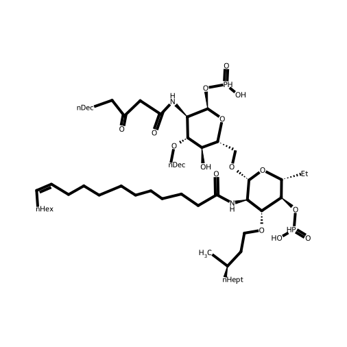 CCCCCC/C=C\CCCCCCCCCC(=O)N[C@H]1[C@H](OC[C@H]2O[C@H](O[PH](=O)O)[C@H](NC(=O)CC(=O)CCCCCCCCCCC)[C@@H](OCCCCCCCCCC)[C@@H]2O)O[C@H](CC)[C@@H](O[PH](=O)O)[C@@H]1OCC[C@H](C)CCCCCCC